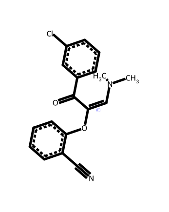 CN(C)/C=C(/Oc1ccccc1C#N)C(=O)c1cccc(Cl)c1